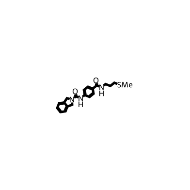 CSCCCNC(=O)c1ccc(NC(=O)N2Cc3ccccc3C2)cc1